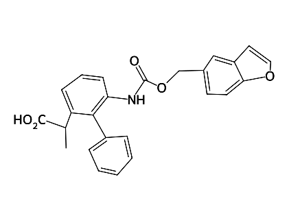 CC(C(=O)O)c1cccc(NC(=O)OCc2ccc3occc3c2)c1-c1ccccc1